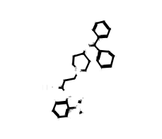 CC(CCN1CCC(OC(c2ccccc2)c2ccccc2)CC1)Oc1ccccc1[N+](=O)[O-]